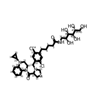 O=C(CCCCc1cc(Cl)c(CN2CSCC2C(=O)N2CCN(C3CC3)c3ccccc32)cc1Cl)NC[C@H](O)[C@@H](O)[C@H](O)[C@H](O)CO